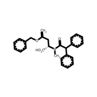 C=C(C[C@@H](C(=O)O)N(C)C(=O)C(c1ccccc1)c1ccccc1)OCc1ccccc1